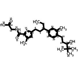 CCC(CCc1cc(C)c(C(=O)NCC(=O)O)s1)c1ccc(CCC(O)C(C)(C)C)c(C)c1